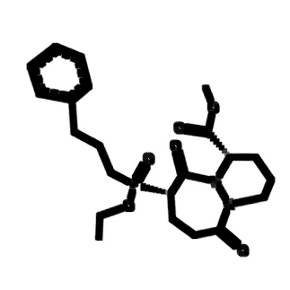 CCOP(=O)(CCCc1ccccc1)[C@H]1CCC(=O)N2CCC[C@@H](C(=O)OC)N2C1=O